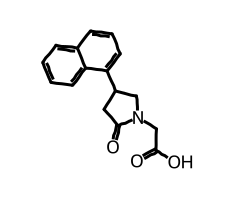 O=C(O)CN1CC(c2cccc3ccccc23)CC1=O